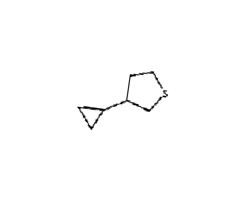 C1CC([C]2CC2)CS1